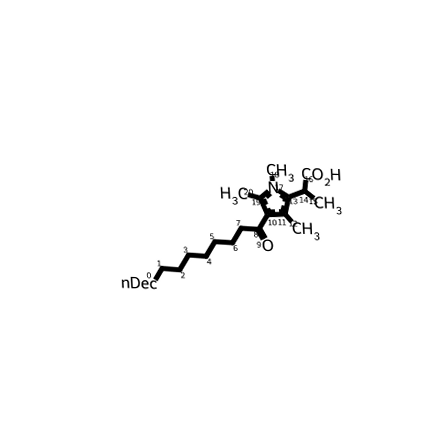 CCCCCCCCCCCCCCCCCC(=O)c1c(C)c(C(C)C(=O)O)n(C)c1C